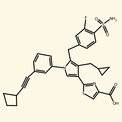 NS(=O)(=O)c1ccc(Cc2c(CC3CC3)c(-c3nc(C(=O)O)cs3)cn2-c2cccc(C#CC3CCC3)c2)cc1F